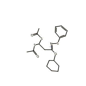 CC(=O)SC(C/C(=N/Sc1ccccc1)OC1CCCCC1)SC(C)=O